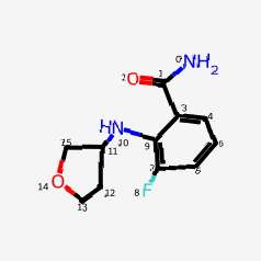 NC(=O)c1cccc(F)c1NC1CCOC1